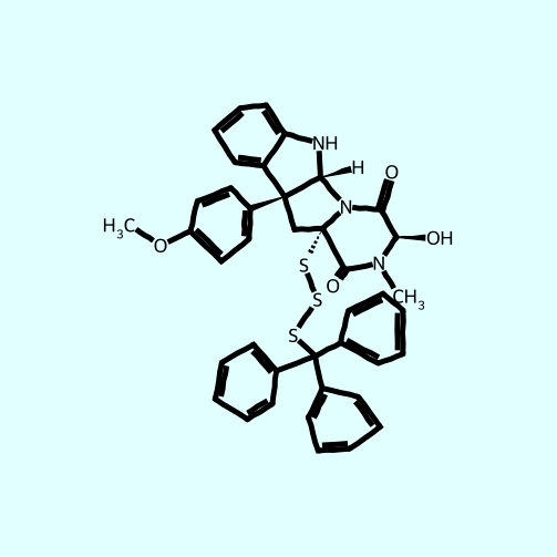 COc1ccc([C@]23C[C@]4(SSSC(c5ccccc5)(c5ccccc5)c5ccccc5)C(=O)N(C)[C@H](O)C(=O)N4[C@H]2Nc2ccccc23)cc1